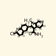 Cn1c(-c2ccc3nc(Cl)ccc3c2)c(C(N)=O)c2ccncc21